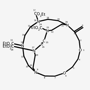 C=C1COCCOCCN2CCN(C(=O)OCC)CCN(C(=O)OCC)CCN1CCN(C(=O)OCC)CCN(C(=O)OCC)CC2